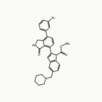 CC(=O)c1cccc(-c2ccc(-c3cc4cc(CN5CCCCC5)ccc4n3C(=O)OC(C)(C)C)c3c2CNC3=O)c1